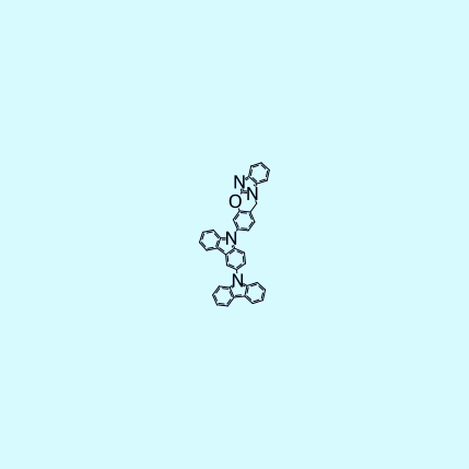 c1ccc2c(c1)nc1n2Cc2ccc(-n3c4ccccc4c4cc(-n5c6ccccc6c6ccccc65)ccc43)cc2O1